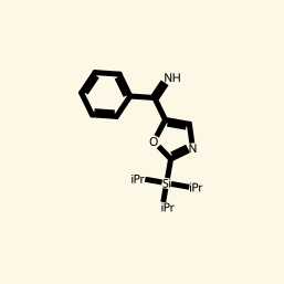 CC(C)[Si](c1ncc(C(=N)c2ccccc2)o1)(C(C)C)C(C)C